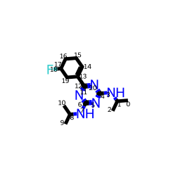 CC(C)Nc1nc(NC(C)C)nc(C2=CCCC(F)C2)n1